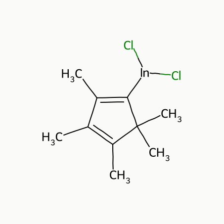 CC1=C(C)C(C)(C)[C]([In]([Cl])[Cl])=C1C